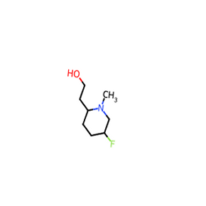 CN1CC(F)CCC1CCO